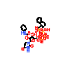 O=C(Nc1ccccc1)OC1[C@@H](O)[C@@H](COP(=O)(O)OP(=O)(O)OP(=O)(O)OP(=O)(O)Cc2cccc3ccccc23)O[C@H]1n1ccc(=O)[nH]c1=O